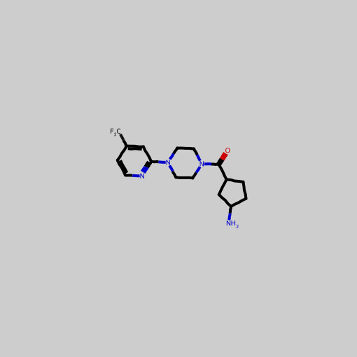 NC1CCC(C(=O)N2CCN(c3cc(C(F)(F)F)ccn3)CC2)C1